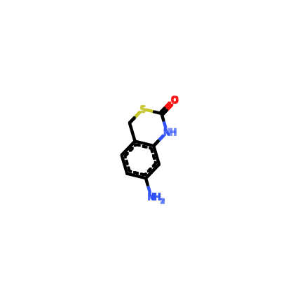 Nc1ccc2c(c1)NC(=O)SC2